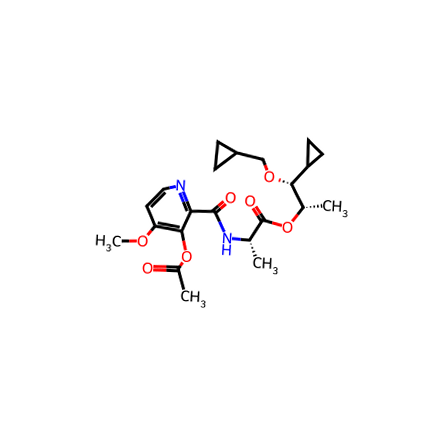 COc1ccnc(C(=O)N[C@@H](C)C(=O)O[C@@H](C)[C@H](OCC2CC2)C2CC2)c1OC(C)=O